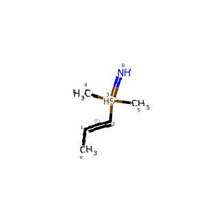 C/C=C/[SH](C)(C)=N